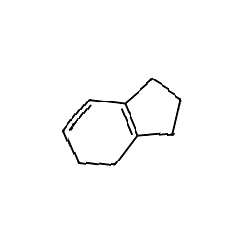 C1=CC2=C(CC1)CCC2